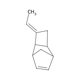 CC=C1CC2C3C=CC(C3)C12